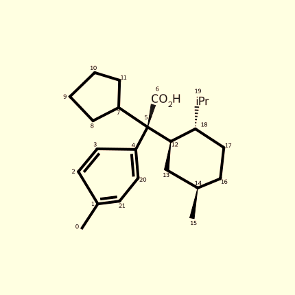 Cc1ccc([C@](C(=O)O)(C2CCCC2)[C@@H]2C[C@H](C)CC[C@H]2C(C)C)cc1